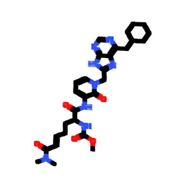 COC(=O)NC(CCC=CC(=O)N(C)C)C(=O)Nc1cccn(Cc2nc3c(CC4CCCCC4)ncnc3[nH]2)c1=O